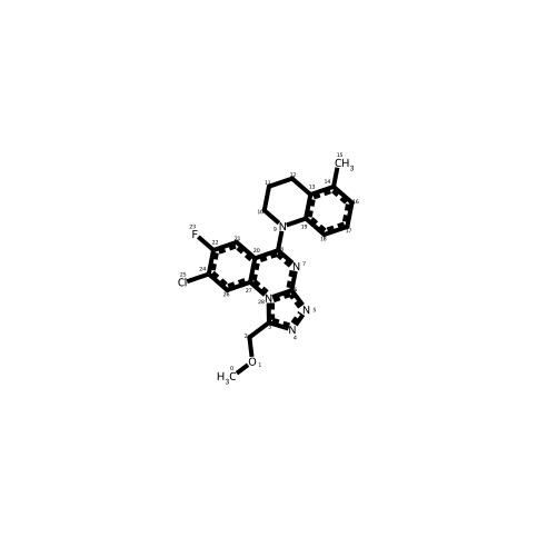 COCc1nnc2nc(N3CCCc4c(C)cccc43)c3cc(F)c(Cl)cc3n12